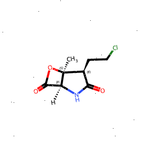 C[C@@]12OC(=O)[C@@H]1NC(=O)[C@@H]2CCCl